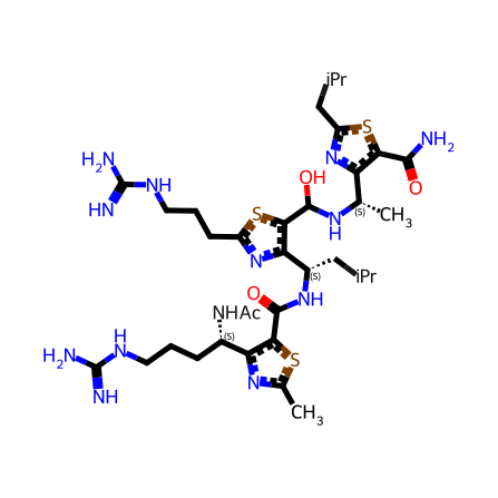 CC(=O)N[C@@H](CCCNC(=N)N)c1nc(C)sc1C(=O)N[C@@H](CC(C)C)c1nc(CCCNC(=N)N)sc1C(O)N[C@@H](C)c1nc(CC(C)C)sc1C(N)=O